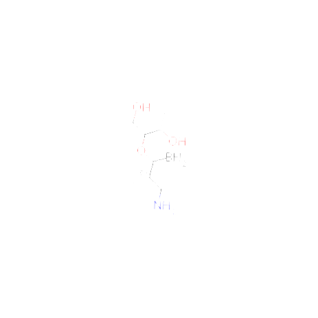 BC(OC(CO)[C@H](C)O)[C@@H](C)CN